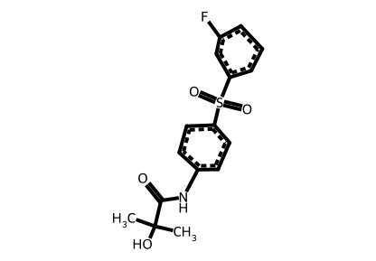 CC(C)(O)C(=O)Nc1ccc(S(=O)(=O)c2cccc(F)c2)cc1